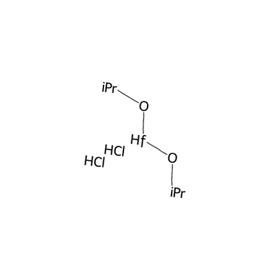 CC(C)[O][Hf][O]C(C)C.Cl.Cl